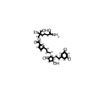 CCC(CO)(CCCC(N)=O)COC(=O)c1ccc(CCC[C@@H]2[C@@H](CCc3cc(Cl)cc(Cl)c3)[C@H](O)C[C@H]2Cl)s1